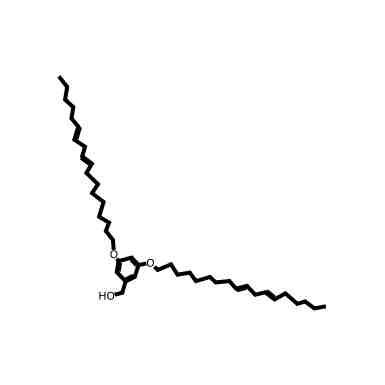 CCCCCC=CCC=CCCCCCCCCOc1cc(CO)cc(OCCCCCCCCC=CCC=CCCCCC)c1